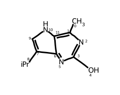 Cc1nc(O)nc2c(C(C)C)c[nH]c12